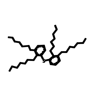 CCCCCCCc1cccc(Sc2cccc(CCCCCCC)c2CCCCCCC)c1CCCCCCC